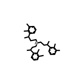 Cc1cccc(C(C)C[CH2][Al]([CH2]CC(C)c2cccc(C)c2C)[CH2]CC(C)c2cccc(C)c2C)c1C